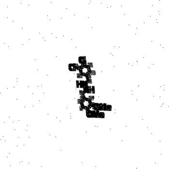 COc1ccc(CNNCc2ccc(Cl)c(Cl)c2)cc1OC